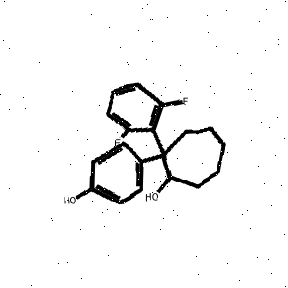 Oc1ccc(C2(c3c(F)cccc3F)CCCCCC2O)cc1